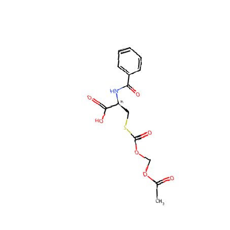 CC(=O)OCOC(=O)SC[C@H](NC(=O)c1ccccc1)C(=O)O